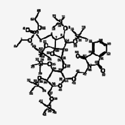 CCOP(=O)(CCC1C(O[Si](C)(C)C)C(O[Si](C)(C)C)C2[C@@H](OC3C(O[Si](C)(C)C)C(O[Si](C)(C)C)C(CO[Si](C)(C)C)O[C@@H]3OCCN3C(=O)c4ccccc4C3=O)OC12O[Si](C)(C)C)OCC